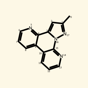 Cc1cc2c3ncccc3c3cccnc3n2n1